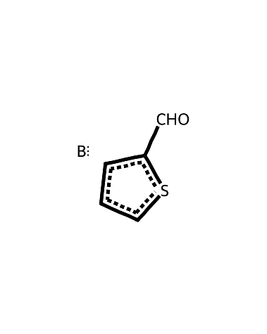 O=Cc1cccs1.[B]